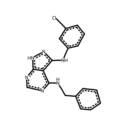 Clc1cccc(Nc2n[nH]c3ncnc(NCc4ccccc4)c23)c1